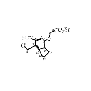 CCOC(=O)COc1cc(C)c(CCl)c2c1CCC2